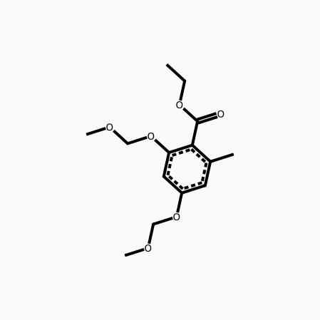 CCOC(=O)c1c(C)cc(OCOC)cc1OCOC